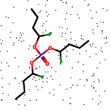 CCCC(F)OP(=O)(OC(F)CCC)OC(F)CCC